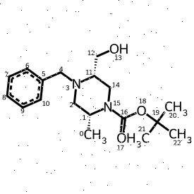 C[C@@H]1CN(Cc2ccccc2)[C@H](CO)CN1C(=O)OC(C)(C)C